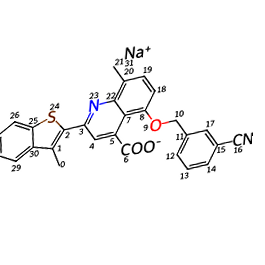 Cc1c(-c2cc(C(=O)[O-])c3c(OCc4cccc(C#N)c4)ccc(C)c3n2)sc2ccccc12.[Na+]